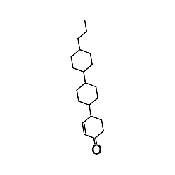 CCCC1CCC(C2CCC(C3C=CC(=O)CC3)CC2)CC1